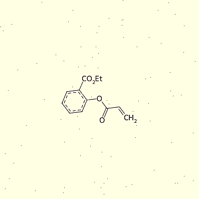 C=CC(=O)Oc1ccccc1C(=O)OCC